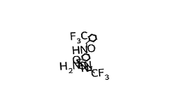 NS(=O)(=O)c1cc(NC(=O)Cc2ccccc2C(F)(F)F)ccc1-n1cc(C(F)(F)F)cn1